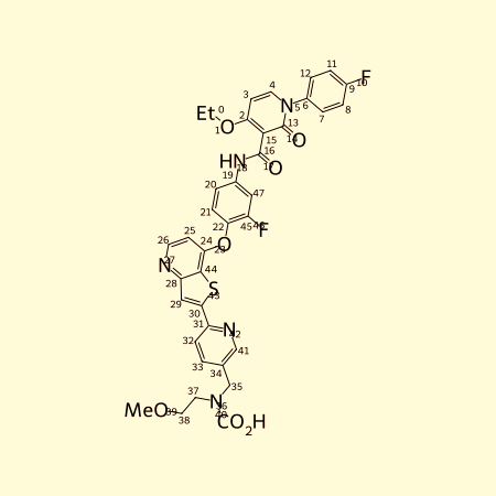 CCOc1ccn(-c2ccc(F)cc2)c(=O)c1C(=O)Nc1ccc(Oc2ccnc3cc(-c4ccc(CN(CCOC)C(=O)O)cn4)sc23)c(F)c1